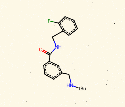 CC(C)(C)NCc1cccc(C(=O)NCc2ccccc2F)c1